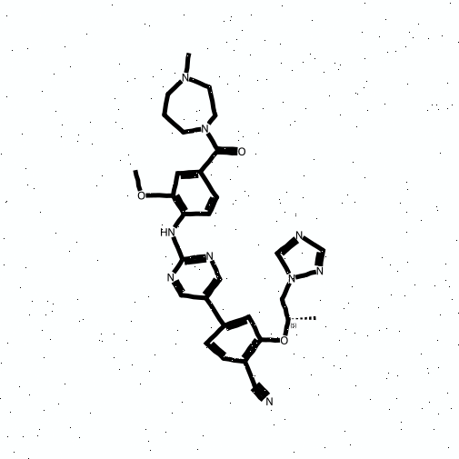 COc1cc(C(=O)N2CCCN(C)CC2)ccc1Nc1ncc(-c2ccc(C#N)c(O[C@@H](C)Cn3cncn3)c2)cn1